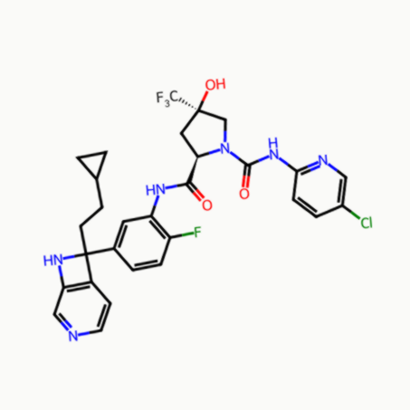 O=C(Nc1cc(C2(CCC3CC3)Nc3cnccc32)ccc1F)[C@H]1C[C@](O)(C(F)(F)F)CN1C(=O)Nc1ccc(Cl)cn1